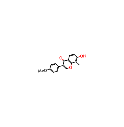 COc1ccc(-c2coc3c(C)c(O)ccc3c2=O)cc1